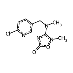 CN(Cc1ccc(Cl)nc1)c1nc(=O)on1C